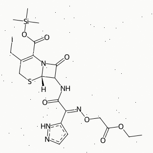 CCOC(=O)CON=C(C(=O)NC1C(=O)N2C(C(=O)O[Si](C)(C)C)=C(CI)CS[C@@H]12)c1ccn[nH]1